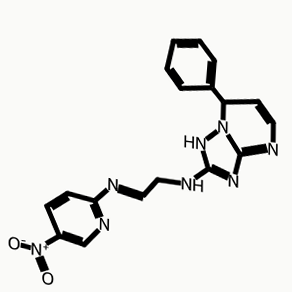 O=[N+]([O-])c1ccc(N=CCNC2=NC3=NC=CC(c4ccccc4)N3N2)nc1